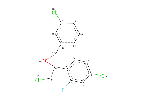 Fc1cc(Cl)ccc1C1(CCl)OC1c1cccc(Cl)c1